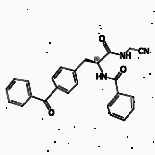 N#CCNC(=O)[C@H](Cc1ccc(C(=O)c2ccccc2)cc1)NC(=O)c1ccccc1